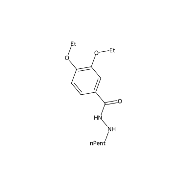 CCCCCNNC(=O)c1ccc(OCC)c(OCC)c1